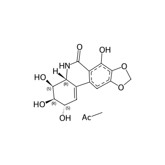 CC(C)=O.O=C1N[C@@H]2C(=C[C@H](O)[C@@H](O)[C@H]2O)c2cc3c(c(O)c21)OCO3